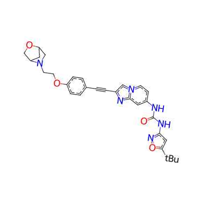 CC(C)(C)c1cc(NC(=O)Nc2ccn3cc(C#Cc4ccc(OCCN5CC6CC5CO6)cc4)nc3c2)no1